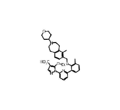 CCOc1c(C(=O)O)cnn1-c1cccc(-c2cccc(C)c2OCc2ccc3c(c2C)CCN(C2CCOCC2)CC3)n1